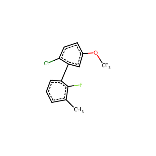 Cc1cccc(-c2cc(OC(F)(F)F)ccc2Cl)c1F